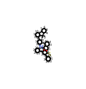 CC1(C)c2ccccc2-c2cccc(-c3ccc(N(c4ccccc4-c4ccc5sc6ccccc6c5c4)c4cccc5ccccc45)cc3)c21